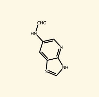 O=CNc1cnc2[nH]cnc2c1